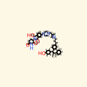 CC/C(=C(\c1ccc(O)cc1)c1ccc(CCCN2CC(CN3CCN(c4ccc5c(c4)C(=O)N(C4CCC(=O)NC4=O)C5O)CC3)C2)cc1)c1ccccc1